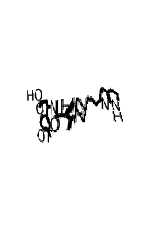 COc1ccc(C(CC(=O)O)NC(=O)c2cn(CCc3ccc4c(n3)NCCC4)nc2C)cc1F